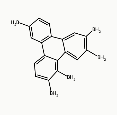 Bc1ccc2c(c1)c1ccc(B)c(B)c1c1cc(B)c(B)cc21